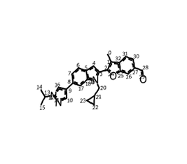 Cc1c(-c2cc3ccc(-c4cnn(C(C)C)c4)cc3n2CC2CC2)oc2cc(C=O)ccc12